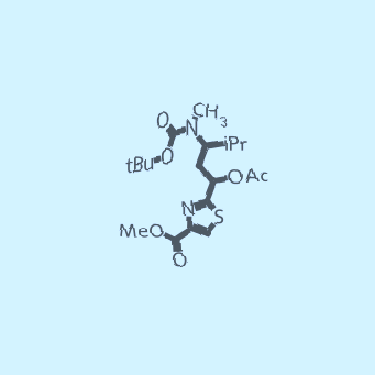 COC(=O)c1csc(C(CC(C(C)C)N(C)C(=O)OC(C)(C)C)OC(C)=O)n1